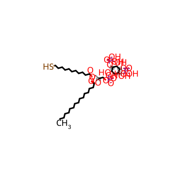 CCCCCCCCCCCCCCCC(=O)O[C@H](COC(=O)CCCCCCCCCCS)COP(=O)(O)OC1C(O)[C@H](OP(=O)(O)O)C(O)[C@H](OP(=O)(O)O)[C@@H]1O